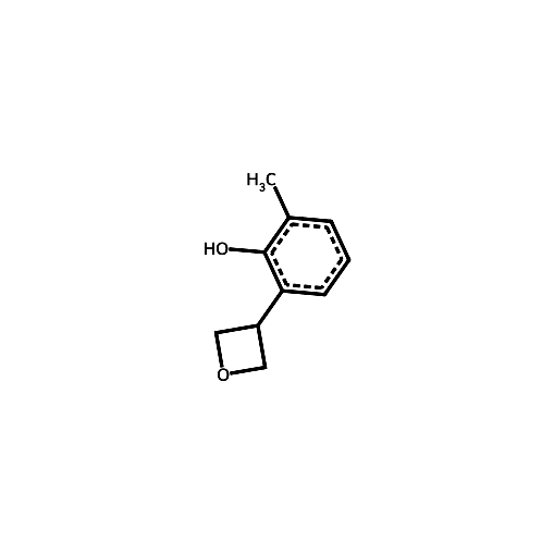 Cc1cccc(C2COC2)c1O